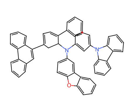 C1=C(c2cc3ccccc3c3ccccc23)CC(N(c2cccc(-n3c4ccccc4c4ccccc43)c2)c2ccc3oc4ccccc4c3c2)C(c2ccccc2)=C1